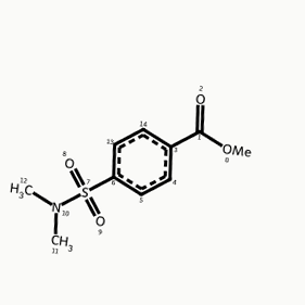 COC(=O)c1ccc(S(=O)(=O)N(C)C)cc1